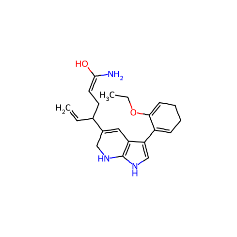 C=CC(C/C=C(\N)O)C1=Cc2c(C3=CCCC=C3OCC)c[nH]c2NC1